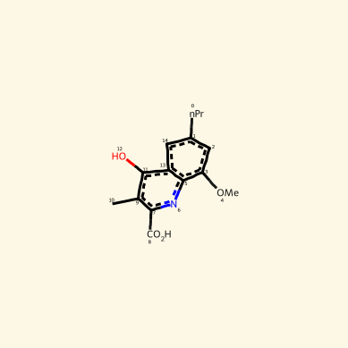 CCCc1cc(OC)c2nc(C(=O)O)c(C)c(O)c2c1